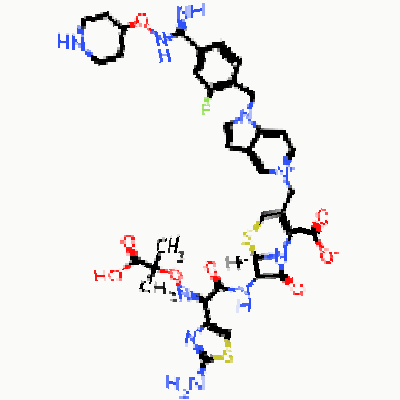 CC(C)(O/N=C(\C(=O)N[C@@H]1C(=O)N2C(C(=O)[O-])=C(C[n+]3ccc4c(ccn4Cc4ccc(C(=N)NOC5CCNCC5)cc4F)c3)CS[C@H]12)c1csc(N)n1)C(=O)O